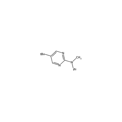 CC(C)N(C)c1ncc(C(C)(C)C)cn1